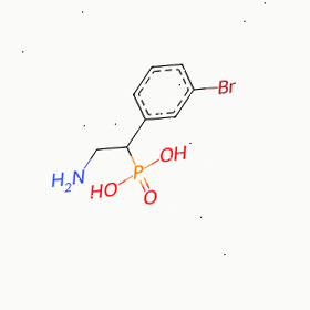 NCC(c1cccc(Br)c1)P(=O)(O)O